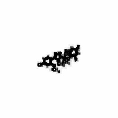 COc1cc(Cl)ccc1-c1nnc(C(C)(C)Oc2c(F)cc(F)cc2F)n1C